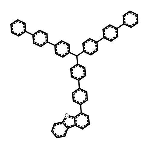 c1ccc(-c2ccc(-c3ccc(C(c4ccc(-c5ccc(-c6ccccc6)cc5)cc4)c4ccc(-c5ccc(-c6cccc7c6oc6ccccc67)cc5)cc4)cc3)cc2)cc1